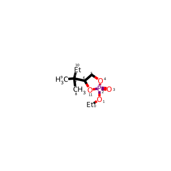 CCOP1(=O)OCC(C(C)(C)CC)O1